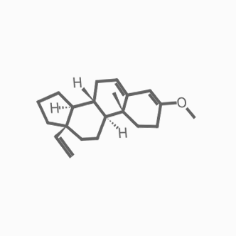 C=C[C@@]12CCC[C@H]1[C@@H]1CC=C3C=C(OC)CC[C@]3(C)[C@H]1CC2